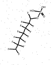 O=P(O)(O)OC(F)C(F)(F)C(F)(F)C(F)(F)C(F)(F)C(F)(F)C(F)F